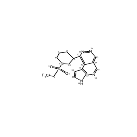 O=S(=O)(CC(F)(F)F)N1CCCC(c2nncc3cnc4[nH]ccc4c23)C1